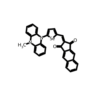 CN1c2ccccc2N(c2ccc(C=C3C(=O)c4cc5ccccc5cc4C3=O)[se]2)c2ccccc21